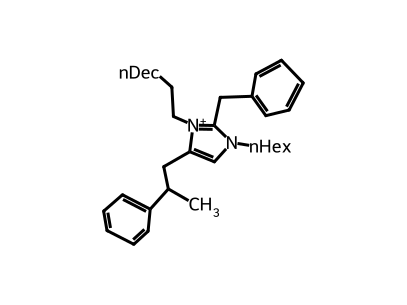 CCCCCCCCCCCC[n+]1c(CC(C)c2ccccc2)cn(CCCCCC)c1Cc1ccccc1